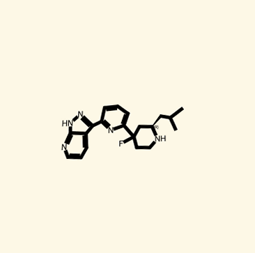 CC(C)C[C@@H]1CC(F)(c2cccc(-c3n[nH]c4ncccc34)n2)CCN1